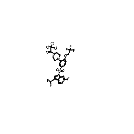 O=C(N1CCN(c2cc(S(=O)(=O)n3cc(C(F)F)c4ccc(F)cc43)ccc2OCC(F)(F)F)CC1)C(Cl)(Cl)Cl